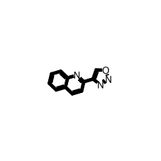 c1ccc2nc(-c3conn3)ccc2c1